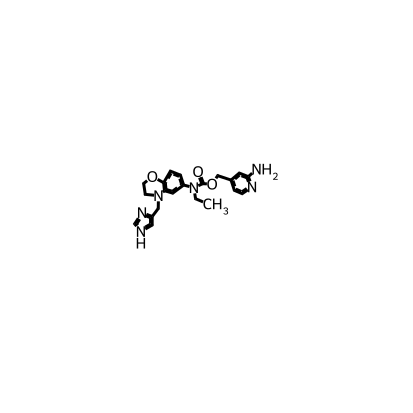 CCN(C(=O)OCc1ccnc(N)c1)c1ccc2c(c1)N(Cc1c[nH]cn1)CCO2